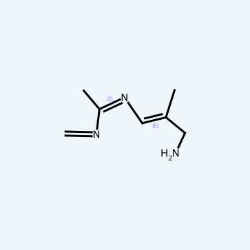 C=N/C(C)=N\C=C(/C)CN